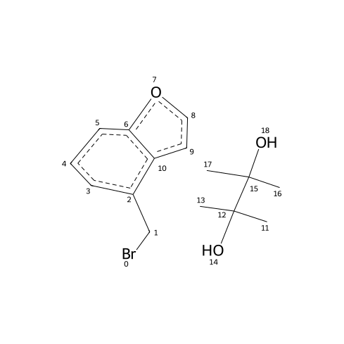 BrCc1cccc2occc12.CC(C)(O)C(C)(C)O